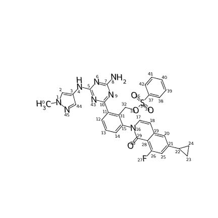 Cn1cc(Nc2nc(N)nc(-c3cccc(-n4ccc5cc(C6CC6)cc(F)c5c4=O)c3COS(=O)(=O)c3ccccc3)n2)cn1